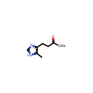 COC(=O)CCc1nc[nH]c1C